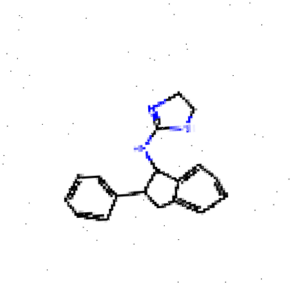 c1ccc(C2Cc3ccccc3C2NC2=NCCN2)cc1